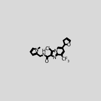 Cn1cccc1CNC(=O)c1nc2c(C(F)(F)F)cc(C3CC=CO3)cn2c1Cl